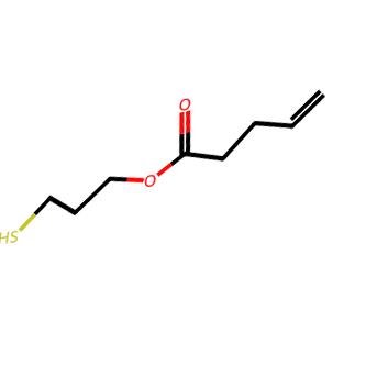 C=CCCC(=O)OCCCS